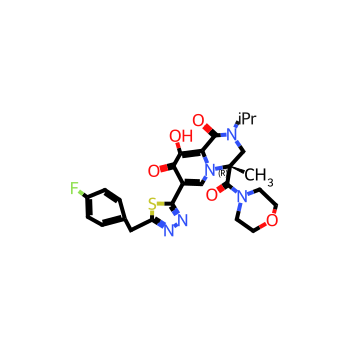 CC(C)N1C[C@](C)(C(=O)N2CCOCC2)n2cc(-c3nnc(Cc4ccc(F)cc4)s3)c(=O)c(O)c2C1=O